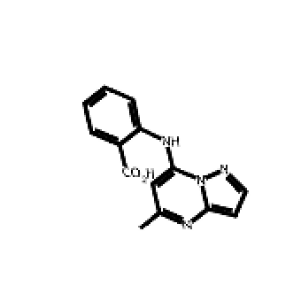 Cc1cc(Nc2ccccc2C(=O)O)n2nccc2n1